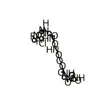 O=C1CCC(N2Cc3c(NC(=O)CCOCCOCCOCCNCCOCCNC(=O)c4ccc(Nc5ncc6c(n5)-c5ccc(Cl)cc5C(c5c(F)cccc5F)=NC6)cc4)cccc3C2=O)C(=O)N1